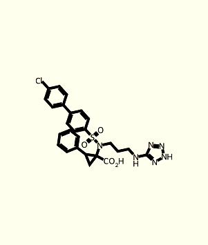 O=C(O)C1(N(CCCNc2nn[nH]n2)S(=O)(=O)c2ccc(-c3ccc(Cl)cc3)cc2)CC1c1ccccc1